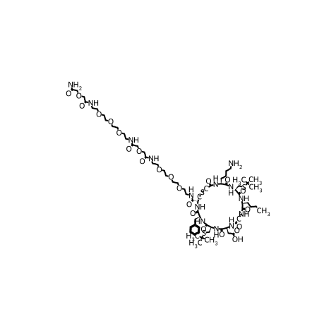 CCCC[C@@H]1NC(=O)[C@H](CSC(C)(C)C)NC(=O)[C@H](CCCCN)NC(=O)CSC[C@@H](C(=O)NCCOCCOCCOCCNC(=O)COCC(=O)NCCOCCOCCOCCNC(=O)COCC(N)=O)NC(=O)[C@H](Cc2ccccc2)NC(=O)[C@H](CSC(C)(C)C)NC(=O)[C@H](CC(=O)O)NC(=O)CNC1=O